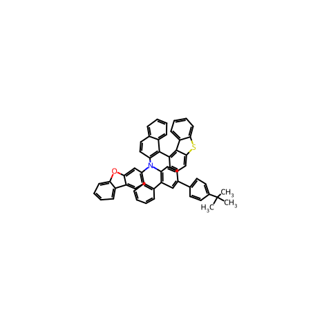 CC(C)(C)c1ccc(-c2ccc(N(c3ccc4c(c3)oc3ccccc34)c3ccc4ccccc4c3-c3cccc4sc5ccccc5c34)c(-c3ccccc3)c2)cc1